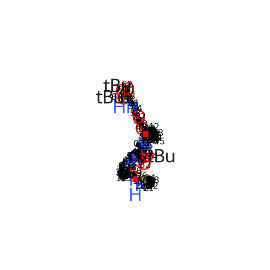 Cc1c(-c2ccc(N3CCc4cccc(C(=O)Nc5nc6ccccc6s5)c4C3)nc2C(=O)OC(C)(C)C)cnn1CC12CC3(C)CC(C)(C1)CC(OCCOCCNCCCP(=O)(OC(C)(C)C)OC(C)(C)C)(C3)C2